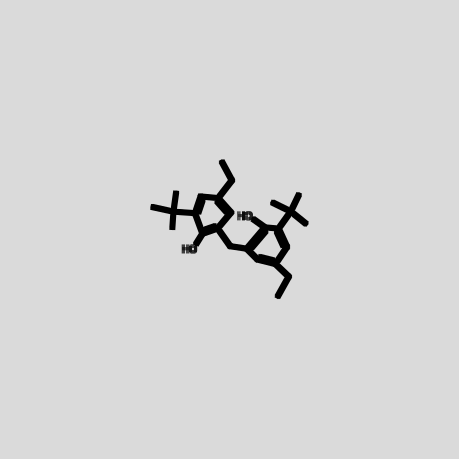 CCc1cc(Cc2cc(CC)cc(C(C)(C)C)c2O)c(O)c(C(C)(C)C)c1